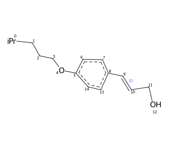 CC(C)CCCOc1ccc(/C=C/CO)cc1